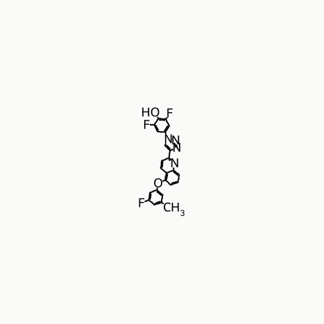 Cc1cc(F)cc(Oc2cccc3nc(-c4cn(-c5cc(F)c(O)c(F)c5)nn4)ccc23)c1